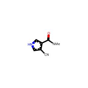 CNC(=O)c1c[nH]cc1C#N